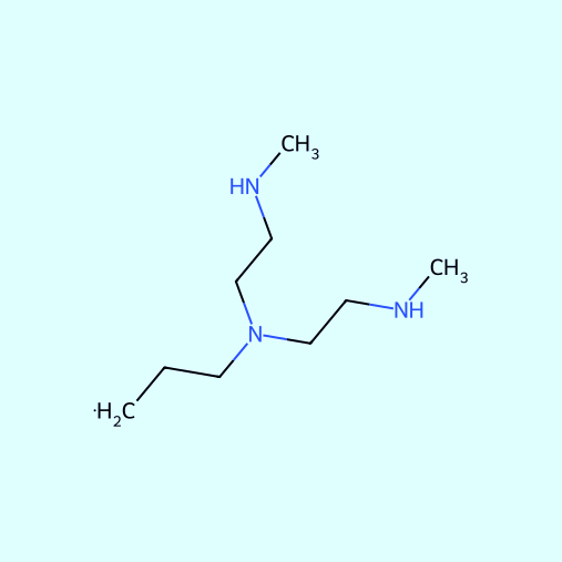 [CH2]CCN(CCNC)CCNC